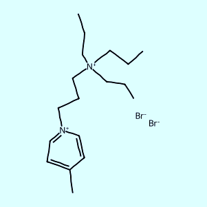 CCC[N+](CCC)(CCC)CCC[n+]1ccc(C)cc1.[Br-].[Br-]